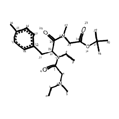 CCN(C)CC(=O)N(CC)[C@@H](Cc1ccc(C)cc1)C(=O)N(C)CC(=O)OC(C)(C)C